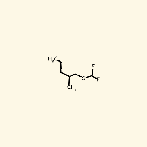 CCCC(C)COC(F)F